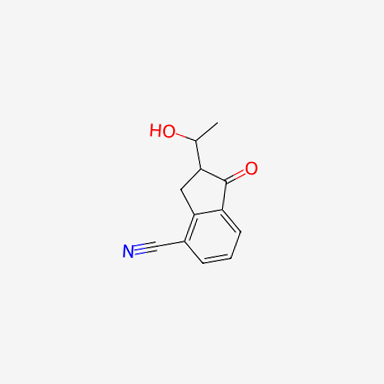 CC(O)C1Cc2c(C#N)cccc2C1=O